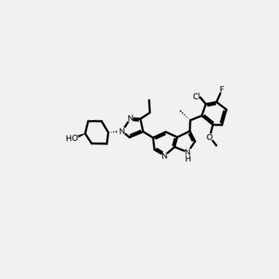 CCc1nn([C@H]2CC[C@H](O)CC2)cc1-c1cnc2[nH]cc([C@H](C)c3c(OC)ccc(F)c3Cl)c2c1